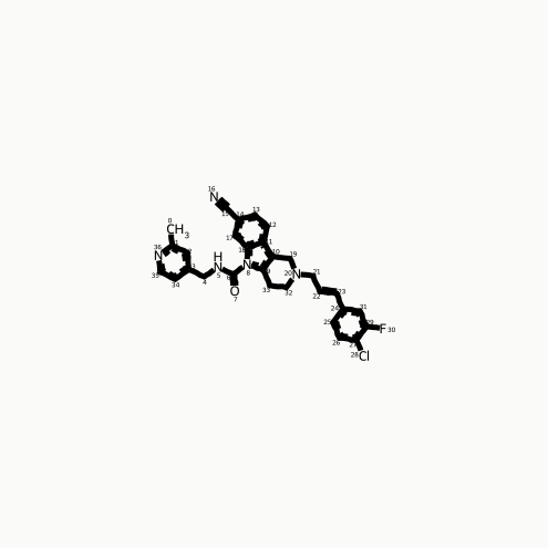 Cc1cc(CNC(=O)n2c3c(c4ccc(C#N)cc42)CN(C/C=C/c2ccc(Cl)c(F)c2)CC3)ccn1